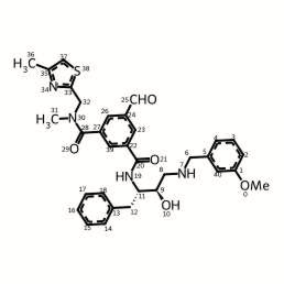 COc1cccc(CNC[C@@H](O)[C@H](Cc2ccccc2)NC(=O)c2cc(C=O)cc(C(=O)N(C)Cc3nc(C)cs3)c2)c1